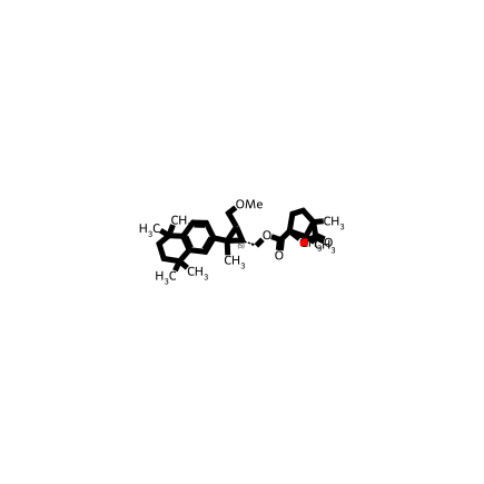 COCC1[C@H](COC(=O)C23CCC(C)(C(=O)O2)C3(C)C)C1(C)c1ccc2c(c1)C(C)(C)CCC2(C)C